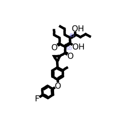 CCCC(=O)/C(C(=O)C1CC1c1ccc(Oc2ccc(F)cc2)cc1C)=C(O)\C(CCC)=C(\O)CCC